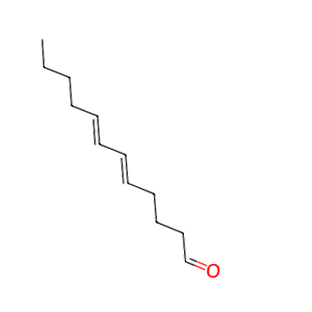 CCCC/C=C/C=C/CCCC=O